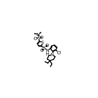 CCC1(CC)CCN(c2c(Cl)cccc2NS(=O)(=O)c2ccc(S(=O)(=O)N(C)C)s2)CC1